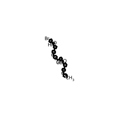 CN1CCC(Oc2ccc(-c3cccc(NC(=O)c4cccc(CN5CCC(Oc6ccc(-c7cccc(NC(=O)c8ccc(Br)cc8)c7)cc6)CC5)c4Cl)c3)cc2)CC1